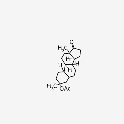 CC(=O)O[C@]1(C)CC[C@H]2C(CC[C@@H]3[C@@H]2CC[C@]2(C)C(=O)CC[C@@H]32)C1